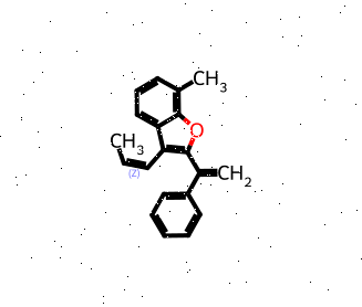 C=C(c1ccccc1)c1oc2c(C)cccc2c1/C=C\C